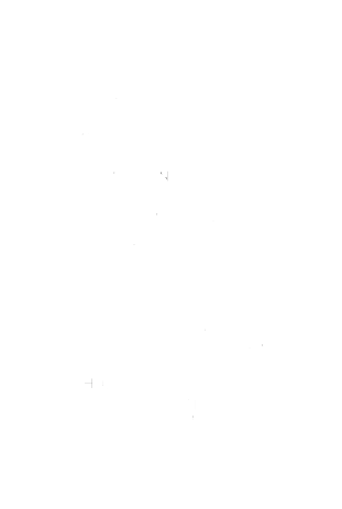 CCC(C)C(=O)c1ccc(N2CCOCC2)cc1